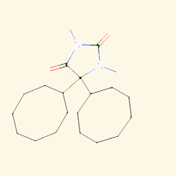 O=C1N(I)C(=O)C(C2CCCCCCC2)(C2CCCCCCC2)N1I